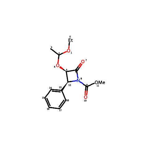 CCOC(C)O[C@H]1C(=O)N(C(=O)OC)[C@H]1c1ccccc1